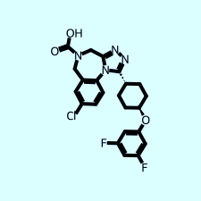 O=C(O)N1Cc2cc(Cl)ccc2-n2c(nnc2[C@H]2CC[C@H](Oc3cc(F)cc(F)c3)CC2)C1